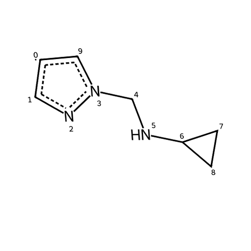 [c]1cnn(CNC2CC2)c1